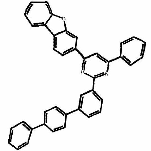 c1ccc(-c2ccc(-c3cccc(-c4nc(-c5ccccc5)cc(-c5ccc6c(c5)oc5ccccc56)n4)c3)cc2)cc1